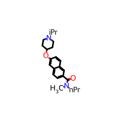 CCCN(C)C(=O)c1ccc2cc(OC3CCN(C(C)C)CC3)ccc2c1